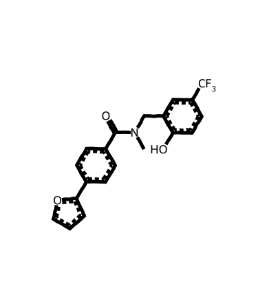 CN(Cc1cc(C(F)(F)F)ccc1O)C(=O)c1ccc(-c2ccco2)cc1